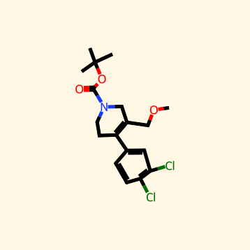 COCC1=C(c2ccc(Cl)c(Cl)c2)CCN(C(=O)OC(C)(C)C)C1